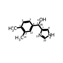 Cc1ccc([C@@H](O)c2c[nH]cn2)cc1C